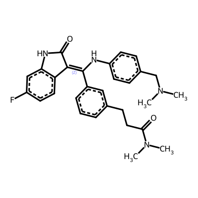 CN(C)Cc1ccc(N/C(=C2\C(=O)Nc3cc(F)ccc32)c2cccc(CCC(=O)N(C)C)c2)cc1